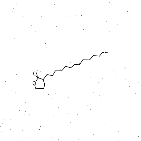 CCCCCCCCCCCCCCC1CCCOC1=O